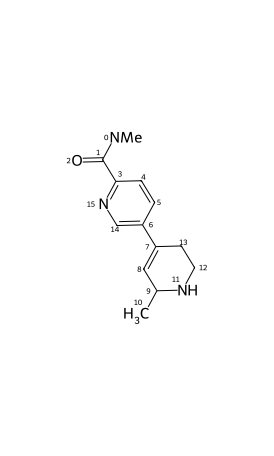 CNC(=O)c1ccc(C2=CC(C)NCC2)cn1